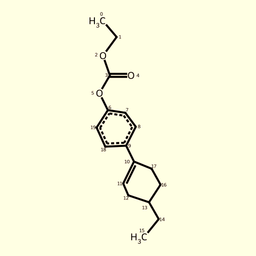 CCOC(=O)Oc1ccc(C2=CCC(CC)CC2)cc1